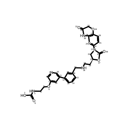 O=C(O)NCCOc1cncc(-c2cccc(CNCC[C@H]3CN(c4ccc5c(n4)NC(=O)CO5)C(=O)O3)c2)c1